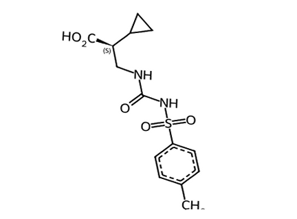 Cc1ccc(S(=O)(=O)NC(=O)NC[C@@H](C(=O)O)C2CC2)cc1